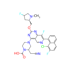 CN1C[C@H](F)C[C@@H]1COc1nc(N2CCN(C(=O)O)C(CC#N)C2)c2cnc(-c3cccc4ccc(F)c(Cl)c34)c(F)c2n1